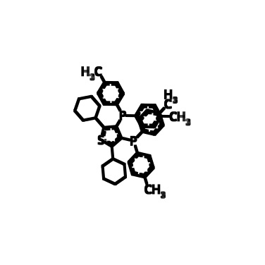 Cc1ccc(P(c2ccc(C)cc2)c2c(C3CCCCC3)sc(C3CCCCC3)c2P(c2ccc(C)cc2)c2ccc(C)cc2)cc1